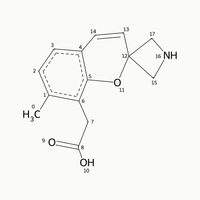 Cc1ccc2c(c1CC(=O)O)OC1(C=C2)CNC1